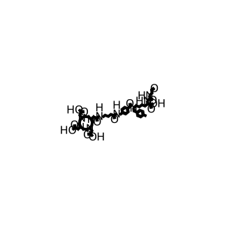 Cc1ccc(CN(CCCCC(NC(=O)NCC=O)C(=O)O)C(=O)c2ccc(CNC(=O)CCCCNC(=O)CN3CCN(CC(=O)O)CCN(CC(=O)O)CCN(CC(=O)O)CC3)cc2)cc1